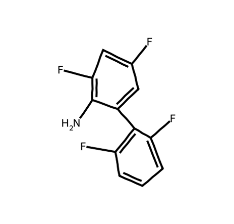 Nc1c(F)cc(F)cc1-c1c(F)cccc1F